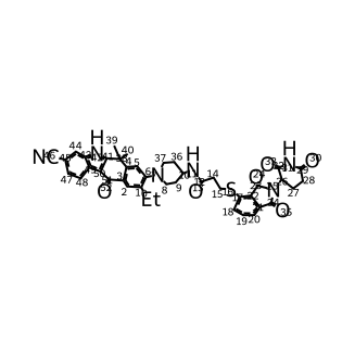 CCc1cc2c(cc1N1CCC(NC(=O)CCSc3cccc4c3C(=O)N(C3CCC(=O)NC3=O)C4=O)CC1)C(C)(C)c1[nH]c3cc(C#N)ccc3c1C2=O